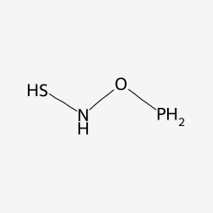 PONS